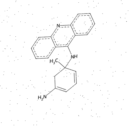 CC1(Nc2c3ccccc3nc3ccccc23)C=CC=C(N)C1